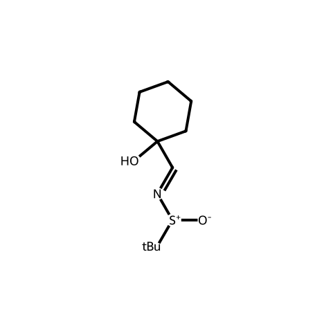 CC(C)(C)[S+]([O-])N=CC1(O)CCCCC1